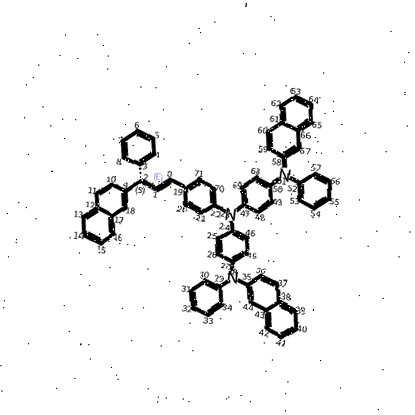 C(=C\[C@@H](c1ccccc1)c1ccc2ccccc2c1)/c1ccc(N(c2ccc(N(c3ccccc3)c3ccc4ccccc4c3)cc2)c2ccc(N(c3ccccc3)c3ccc4ccccc4c3)cc2)cc1